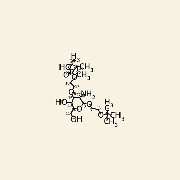 CC(C)(C)OCCOC1OC(CO)C(O)C(OCCOP(=O)(O)C(C)(C)C)C1N